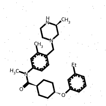 [CH2]Cc1cccc(O[C@H]2CC[C@H](C(=O)N(C)c3ccc(CN4CCN[C@@H](C)C4)c(C)c3)CC2)c1